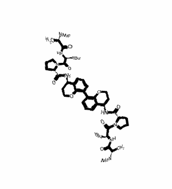 CN[C@@H](C)C(=O)N[C@H](C(=O)N1CCC[C@H]1C(=O)N[C@@H]1CCOc2c(-c3cccc4c3OCC[C@H]4NC(=O)[C@@H]3CCCN3C(=O)[C@@H](NC(=O)[C@H](C)NC)C(C)(C)C)cccc21)C(C)(C)C